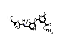 CCc1noc(/C=C/c2cncc(Oc3cc(C(=O)OC)cc(Cl)n3)c2C)n1